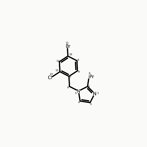 CC(C)c1nccn1Cc1ccc(Br)cc1Cl